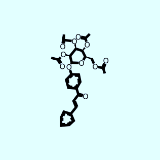 CC(=O)OC[C@H]1O[C@@H](Oc2ccc(C(=O)/C=C/c3ccccc3)cc2)[C@@H](OC(C)=O)[C@@H](OC(C)=O)[C@H]1OC(C)=O